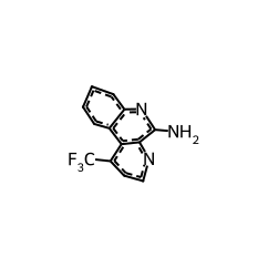 Nc1nc2ccccc2c2c(C(F)(F)F)ccnc12